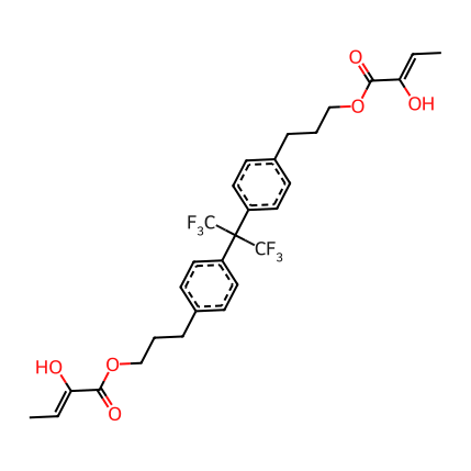 CC=C(O)C(=O)OCCCc1ccc(C(c2ccc(CCCOC(=O)C(O)=CC)cc2)(C(F)(F)F)C(F)(F)F)cc1